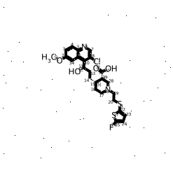 COc1ccc2ncc(Cl)c([C@@H](O)CC[C@H]3CCN(CCSc4ccc(F)s4)C[C@H]3C(=O)O)c2c1